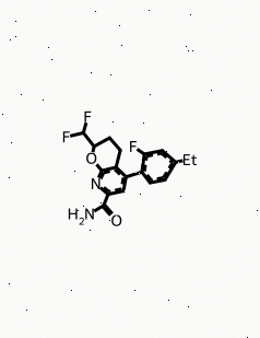 CCc1ccc(-c2cc(C(N)=O)nc3c2CCC(C(F)F)O3)c(F)c1